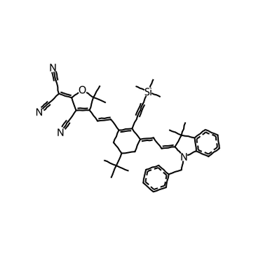 CC1(C)OC(=C(C#N)C#N)C(C#N)=C1/C=C/C1=C(C#C[Si](C)(C)C)C(=C/C=C2/N(Cc3ccccc3)c3ccccc3C2(C)C)/CC(C(C)(C)C)C1